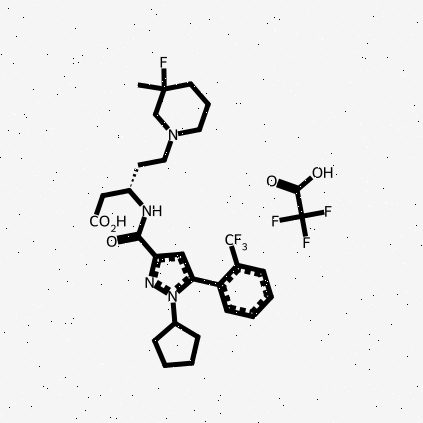 CC1(F)CCCN(CC[C@@H](CC(=O)O)NC(=O)c2cc(-c3ccccc3C(F)(F)F)n(C3CCCC3)n2)C1.O=C(O)C(F)(F)F